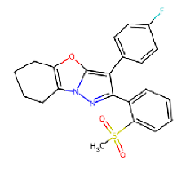 CS(=O)(=O)c1ccccc1-c1nn2c3c(oc2c1-c1ccc(F)cc1)CCCC3